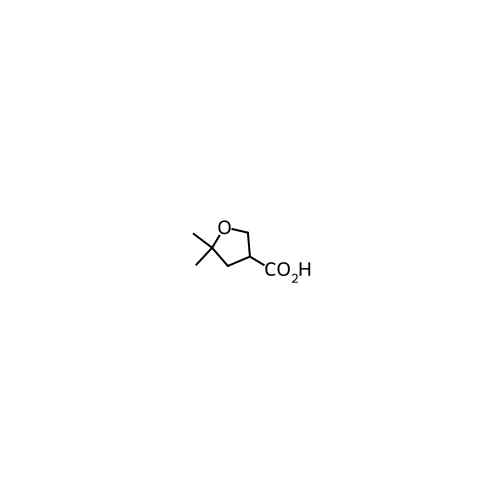 CC1(C)CC(C(=O)O)CO1